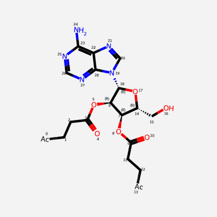 CC(=O)CCC(=O)O[C@@H]1[C@H](OC(=O)CCC(C)=O)[C@@H](CO)O[C@H]1n1cnc2c(N)ncnc21